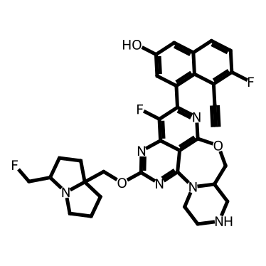 C#Cc1c(F)ccc2cc(O)cc(-c3nc4c5c(nc(OCC67CCCN6C(CF)CC7)nc5c3F)N3CCNCC3CO4)c12